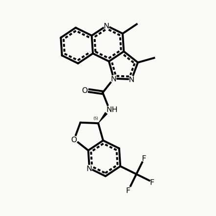 Cc1nc2ccccc2c2c1c(C)nn2C(=O)N[C@@H]1COc2ncc(C(F)(F)F)cc21